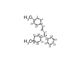 Cc1ccc(C=CC=C(c2cc[c]cc2)c2ccc(C)cc2)cc1